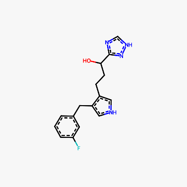 OC(CCc1c[nH]cc1Cc1cccc(F)c1)c1nc[nH]n1